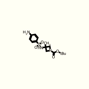 CC1(NS(=O)(=O)c2ccc(N)cc2)CN(C(=O)OC(C)(C)C)C1